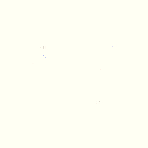 COc1ccc2c(c1)OC1(CCNCC1)CC2c1ccc(N(C)C)cc1